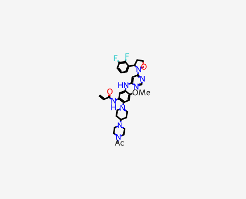 C=CC(=O)Nc1cc(Nc2cc(N3OCCC3c3cccc(F)c3F)ncn2)c(OC)cc1N1CCC(N2CCN(C(C)=O)CC2)CC1